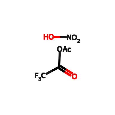 CC(=O)OC(=O)C(F)(F)F.O=[N+]([O-])O